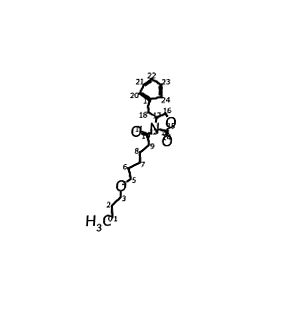 CCCCOCCCCCC(=O)N1C(=O)OC[C@@H]1Cc1ccccc1